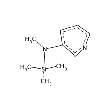 CN(c1cccnc1)[Si](C)(C)C